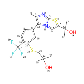 Cc1nc2sc(C(C)(C)O)cn2c1-c1ccc(C(F)(F)F)c(SCC(C)(C)O)c1